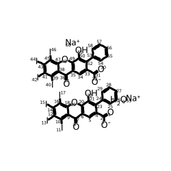 O.O=C([O-])c1cc2c(=O)c3c(I)c(I)c(I)c(I)c3oc2c(O)c1-c1ccccc1.O=C([O-])c1cc2c(=O)c3c(I)c(I)c(I)c(I)c3oc2c(O)c1-c1ccccc1.[Na+].[Na+]